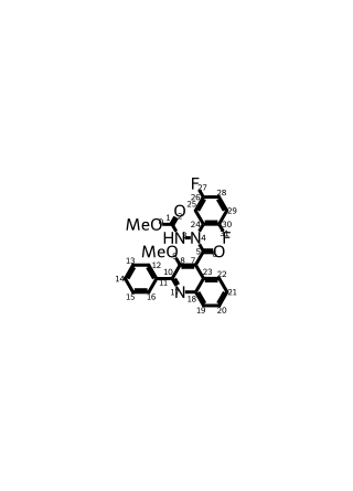 COC(=O)NN(C(=O)c1c(OC)c(-c2ccccc2)nc2ccccc12)c1cc(F)ccc1F